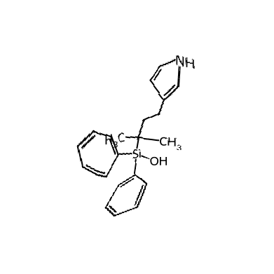 CC(C)(CCc1cc[nH]c1)[Si](O)(c1ccccc1)c1ccccc1